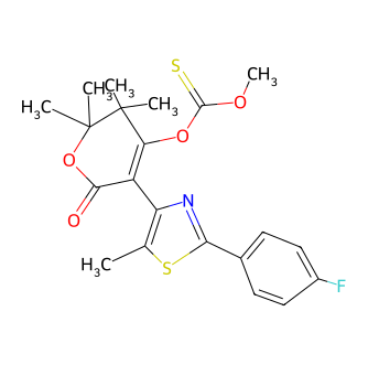 COC(=S)OC1=C(c2nc(-c3ccc(F)cc3)sc2C)C(=O)OC(C)(C)C1(C)C